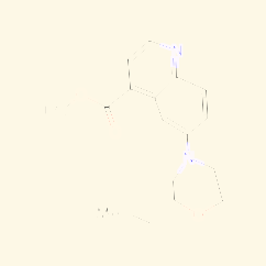 COC[C@@H]1CN(c2ccc3nccc(C(=O)OC(C)(C)C)c3c2)CCO1